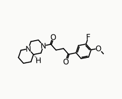 COc1ccc(C(=O)CCC(=O)N2CCN3CCCC[C@@H]3C2)cc1F